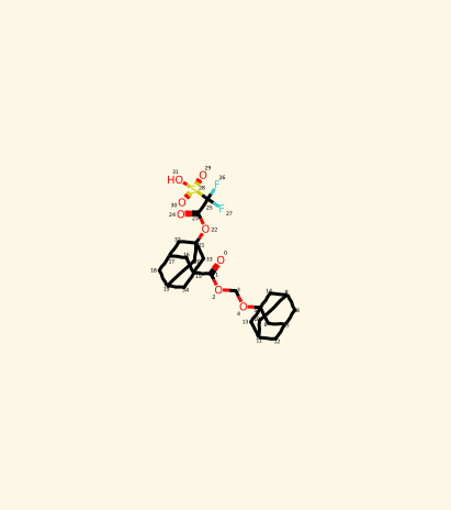 O=C(OCOC12CC3CC(CC(C3)C1)C2)C12CC3CC(CC(OC(=O)C(F)(F)S(=O)(=O)O)(C3)C1)C2